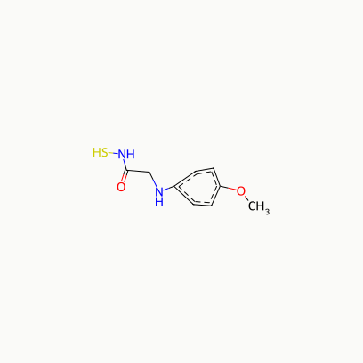 COc1ccc(NCC(=O)NS)cc1